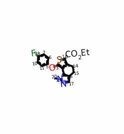 CCOC(=O)c1sc(Oc2ccc(F)cc2)c2c1CCc1cnn(C)c1-2